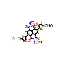 CCCCCCCCN1C(=O)c2cc(-c3ccc(C=O)s3)c3c4c(cc(-c5ccc(C=O)s5)c(c24)C1=O)C(=O)N(CCCCCCCC)C3=O